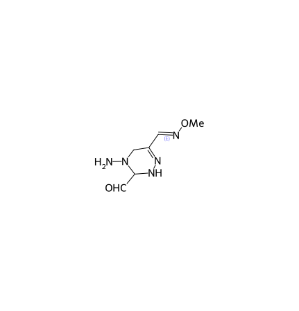 CO/N=C/C1=NNC(C=O)N(N)C1